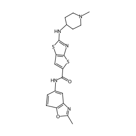 Cc1nc2cc(NC(=O)c3cc4sc(NC5CCN(C)CC5)nc4s3)ccc2o1